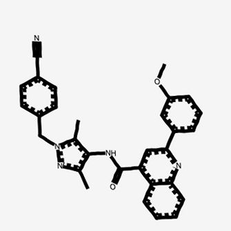 COc1cccc(-c2cc(C(=O)Nc3c(C)nn(Cc4ccc(C#N)cc4)c3C)c3ccccc3n2)c1